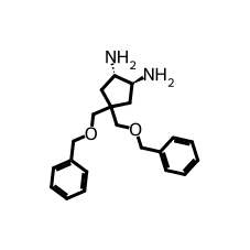 N[C@H]1CC(COCc2ccccc2)(COCc2ccccc2)C[C@@H]1N